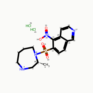 C[C@@H]1CNCCCCN1S(=O)(=O)c1ccc2cnccc2c1[N+](=O)[O-].Cl.Cl